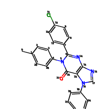 Cc1ccc(-n2c(-c3ccc(Cl)cc3)nc3ncn(-c4ccccc4)c3c2=O)cc1